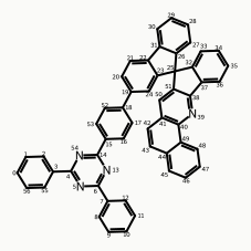 c1ccc(-c2nc(-c3ccccc3)nc(-c3ccc(-c4ccc5c(c4)C4(c6ccccc6-5)c5ccccc5-c5nc6c(ccc7ccccc76)cc54)cc3)n2)cc1